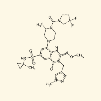 CON=c1[nH]c2c(N3CCN(C(=O)N4CCC(F)(F)C4)C(C)C3)cc(S(=O)(=O)NC3(C)CC3)cc2c(=O)n1Cc1cnn(C)c1